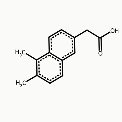 Cc1ccc2cc(CC(=O)O)ccc2c1C